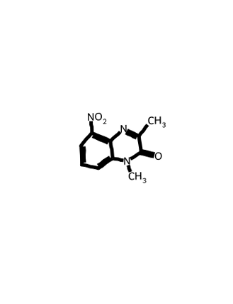 Cc1nc2c([N+](=O)[O-])cccc2n(C)c1=O